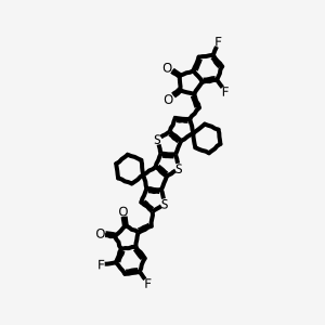 O=C1C(=O)c2c(F)cc(F)cc2/C1=C/c1cc2c(s1)-c1sc3c4c(sc3c1C21CCCCC1)C=C(/C=C1\C(=O)C(=O)c2cc(F)cc(F)c21)C41CCCCC1